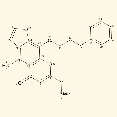 CSCc1cc(=O)c2c(C)c3ccoc3c(OCCCc3ccccc3)c2o1